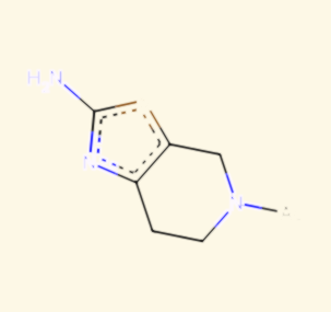 CC(=O)N1CCc2nc(N)sc2C1